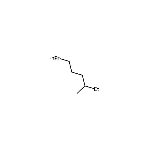 CC[CH]CCCC(C)CC